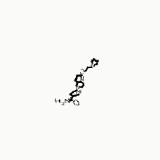 NC(=O)c1ccc(N2CCc3nc(OCCCN4CCCC4)ccc3C2)nc1